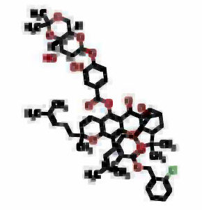 CC(C)=CCCC1(C)C=Cc2c(c(CC=C(C)C)c3c(c2OC(=O)c2ccc(O[C@@H]4O[C@@H]5COC(C)(C)O[C@H]5[C@@H](O)[C@H]4O)cc2)C(=O)C2=CC4CC5C(C)(C)OC(C/C=C(/C)C(=O)OCc6ccccc6Cl)(C4=O)C25O3)O1